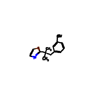 CC(C)(C)c1cccc(CC(C)(C)c2nccs2)c1